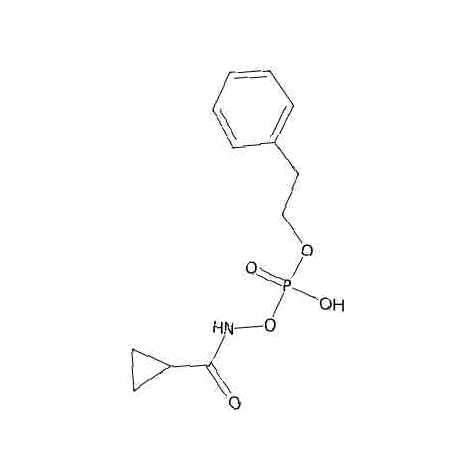 O=C(NOP(=O)(O)OCCc1ccccc1)C1CC1